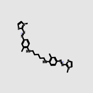 Cc1cc(/N=N/c2scc[n+]2C)ccc1NCCCCCNc1ccc(/N=N/c2scc[n+]2C)cc1C